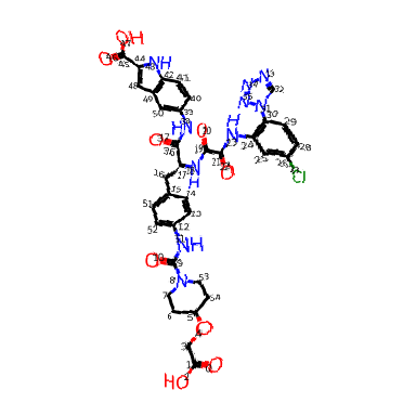 O=C(O)COC1CCN(C(=O)Nc2ccc(C[C@H](NC(=O)C(=O)Nc3cc(Cl)ccc3-n3cnnn3)C(=O)Nc3ccc4[nH]c(C(=O)O)cc4c3)cc2)CC1